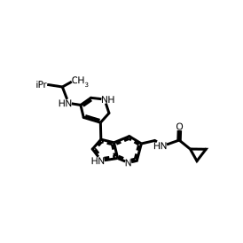 CC(C)C(C)NC1=CNCC(c2c[nH]c3ncc(CNC(=O)C4CC4)cc23)=C1